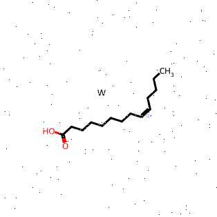 CCCC/C=C\CCCCCCCC(=O)O.[W]